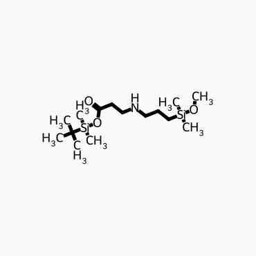 CO[Si](C)(C)CCCNCCC(=O)O[Si](C)(C)C(C)(C)C